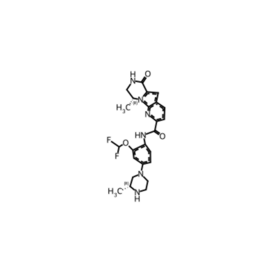 C[C@@H]1CN(c2ccc(NC(=O)c3ccc4cc5n(c4n3)[C@H](C)CNC5=O)c(OC(F)F)c2)CCN1